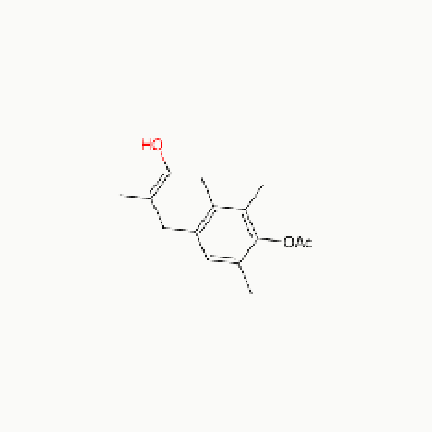 CC(=O)Oc1c(C)cc(CC(C)=CO)c(C)c1C